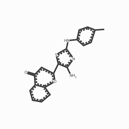 Cc1ccc(Nc2nc(N)c(-c3cc(=O)c4ccccc4o3)s2)cc1